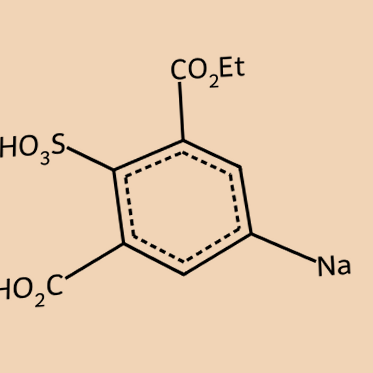 CCOC(=O)c1c[c]([Na])cc(C(=O)O)c1S(=O)(=O)O